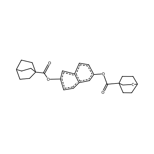 O=C(Oc1ccc2cc(OC(=O)C34CCC(CC3)CC4)ccc2c1)C12CCC(CC1)CC2